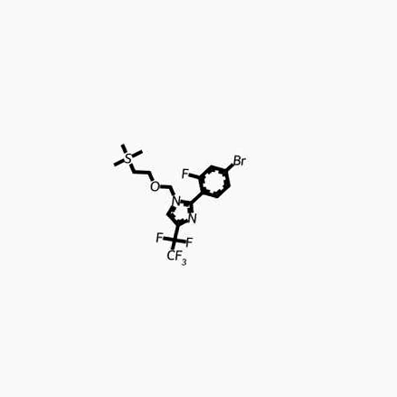 CS(C)(C)CCOCn1cc(C(F)(F)C(F)(F)F)nc1-c1ccc(Br)cc1F